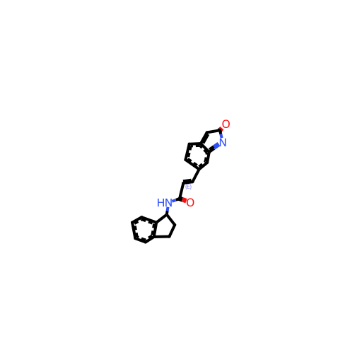 O=C1C=c2ccc(/C=C/C(=O)NC3CCc4ccccc43)cc2=N1